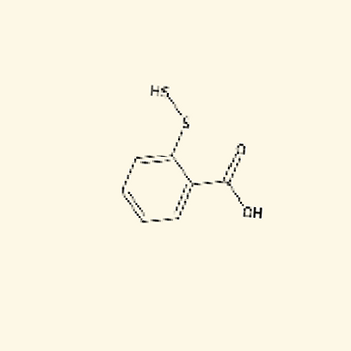 O=C(O)c1ccccc1SS